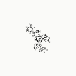 CC(C)(C)OC(=O)NCC(CC(O)c1cncc(F)c1)O[Si](C)(C)C(C)(C)C